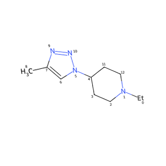 CCN1CCC(n2cc(C)nn2)CC1